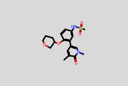 Cc1cc(-c2cc(NS(C)(=O)=O)ccc2OC2CCCOC2)cn(C)c1=O